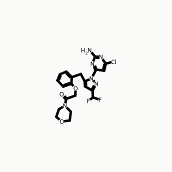 Nc1nc(Cl)cc(-n2nc(C(F)F)cc2Cc2ccccc2OCC(=O)N2CCOCC2)n1